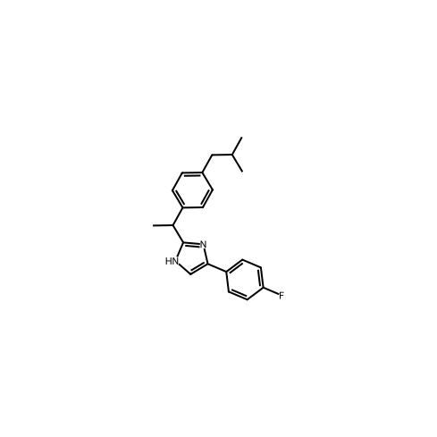 CC(C)Cc1ccc(C(C)c2nc(-c3ccc(F)cc3)c[nH]2)cc1